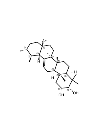 CC(=O)[C@]12CC[C@@H](C)[C@H](C)[C@H]1C1=CC[C@@H]3[C@@]4(C)C[C@@H](O)[C@@H](O)C(C)(C)[C@@H]4CC[C@@]3(C)[C@]1(C)CC2